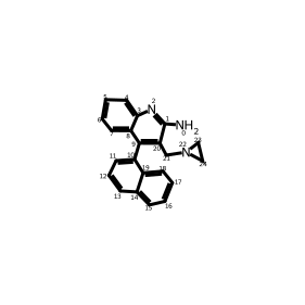 Nc1nc2ccccc2c(-c2cccc3ccccc23)c1CN1CC1